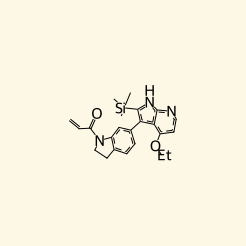 C=CC(=O)N1CCc2ccc(-c3c([Si](C)(C)C)[nH]c4nccc(OCC)c34)cc21